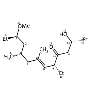 CC[C@H](C[C@@H](C)C/C(C)=C/[C@@H](CC)C(=O)C[C@H](O)C(C)C)OC